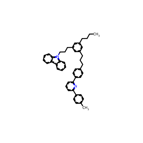 CCCCc1cc(CCCc2ccc(-c3cccc(-c4ccc(C)cc4)n3)cc2)cc(CCCn2c3ccccc3c3ccccc32)c1